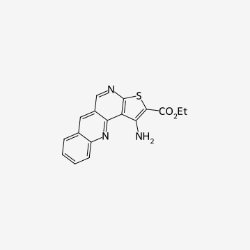 CCOC(=O)c1sc2ncc3cc4ccccc4nc3c2c1N